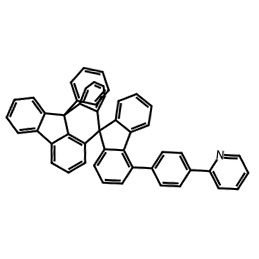 c1ccc(C23c4ccccc4-c4cccc(c42)C2(c4ccccc4-c4c(-c5ccc(-c6ccccn6)cc5)cccc42)c2ccccc23)cc1